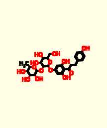 C[C@@H]1O[C@@H](O[C@H]2[C@H](Oc3cc(O)c(C(=O)CCc4ccc(O)cc4)c(O)c3)O[C@H](CO)[C@@H](O)[C@@H]2O)[C@H](O)[C@H](O)[C@H]1O